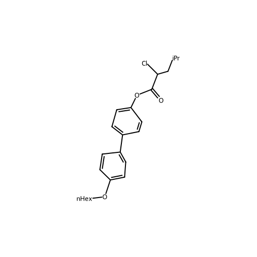 CCCCCCOc1ccc(-c2ccc(OC(=O)C(Cl)CC(C)C)cc2)cc1